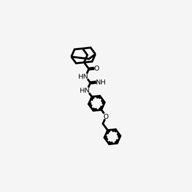 N=C(NC(=O)C12CC3CC(CC(C3)C1)C2)Nc1ccc(OCc2ccccc2)cc1